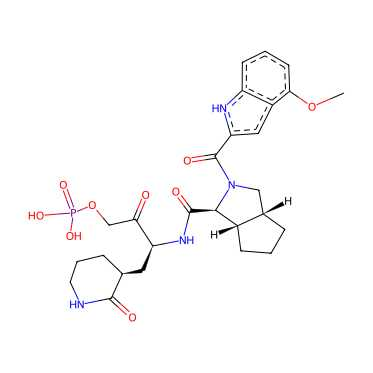 COc1cccc2[nH]c(C(=O)N3C[C@@H]4CCC[C@@H]4[C@H]3C(=O)N[C@@H](C[C@@H]3CCCNC3=O)C(=O)COP(=O)(O)O)cc12